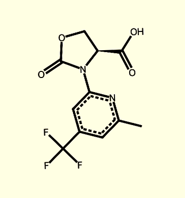 Cc1cc(C(F)(F)F)cc(N2C(=O)OC[C@H]2C(=O)O)n1